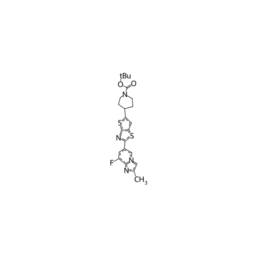 Cc1cn2cc(-c3nc4sc(C5CCN(C(=O)OC(C)(C)C)CC5)cc4s3)cc(F)c2n1